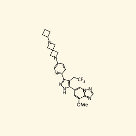 COc1cc(-c2[nH]nc(-c3ccc(N4CC5(C4)CN(C4CCC4)C5)cn3)c2CC(F)(F)F)cn2ncnc12